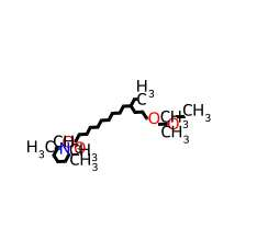 CCCOC(C)(C)COCCCC(CC)CCCCCCCCCC(=O)ON1C(C)(C)CCCC1(C)C